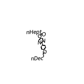 CCCCCCCCCCCCOc1ccc(-c2ncc(OC(=O)CCCCCCC)cn2)cc1